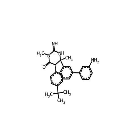 CN1C(=N)N[C@](C)(c2cccc(-c3cccc(N)c3)c2)[C@@H](c2ccc(C(C)(C)C)cc2)C1=O